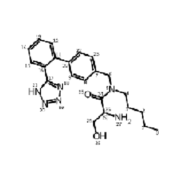 CCCCCN(Cc1ccc(-c2ccccc2-c2nnn[nH]2)cc1)C(=O)[C@@H](N)CO